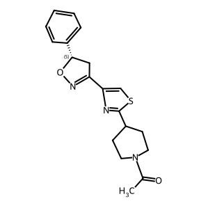 CC(=O)N1CCC(c2nc(C3=NO[C@H](c4ccccc4)C3)cs2)CC1